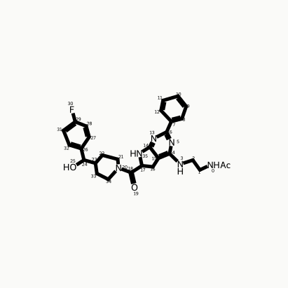 CC(=O)NCCNc1nc(-c2ccccc2)nc2c1CC(C(=O)N1CCC(C(O)c3ccc(F)cc3)CC1)N2